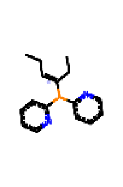 CC/C=C(\CC)P(c1ccccn1)c1ccccn1